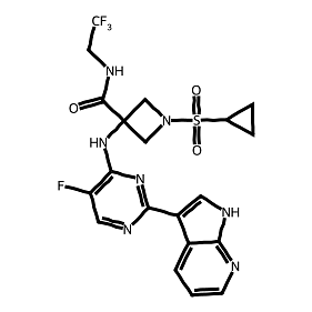 O=C(NCC(F)(F)F)C1(Nc2nc(-c3c[nH]c4ncccc34)ncc2F)CN(S(=O)(=O)C2CC2)C1